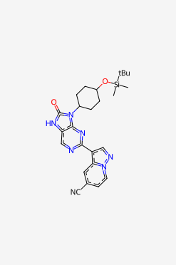 CC(C)(C)[Si](C)(C)OC1CCC(n2c(=O)[nH]c3cnc(-c4cnn5ccc(C#N)cc45)nc32)CC1